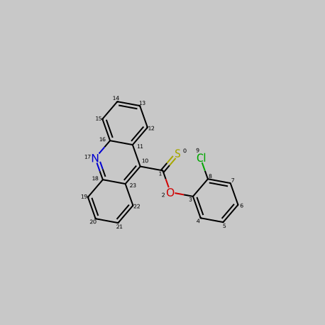 S=C(Oc1ccccc1Cl)c1c2ccccc2nc2ccccc12